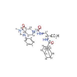 CN1CN(c2ccccc2)C2(CCN(C(=O)NCC(NC(=O)C3C4CC5CC(C4)CC3C5)C(=O)O)CC2)C1=O